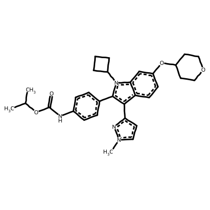 CC(C)OC(=O)Nc1ccc(-c2c(-c3ccn(C)n3)c3ccc(OC4CCOCC4)cc3n2C2CCC2)cc1